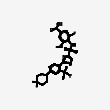 COc1cc(C(=O)O)cc(F)c1NS(=O)(=O)c1csc(-c2ccc(C3CCC(C)(C)CC3)cc2C(F)(F)F)n1